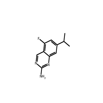 CC(C)c1cc(F)c2cnc(N)nc2c1